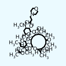 CO[C@]1(C)C[C@H](O[C@H]2[C@H](C)[C@@H](O[C@@H]3O[C@H](C)C[C@H](N(C)C)[C@H]3OCCCN3CCOCC3)[C@@](C)(OC)C[C@@H](C)C(=O)[C@H](C)[C@@H](O)[C@@]3(O)C(C)[C@H]3OC(=O)[C@@H]2C)O[C@@H](C)[C@@H]1OC(C)=O